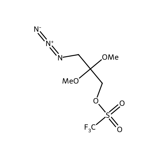 COC(CN=[N+]=[N-])(COS(=O)(=O)C(F)(F)F)OC